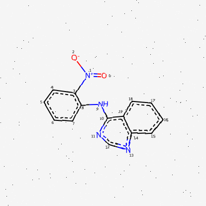 O=[N+]([O-])c1ccccc1Nc1ncnc2ccccc12